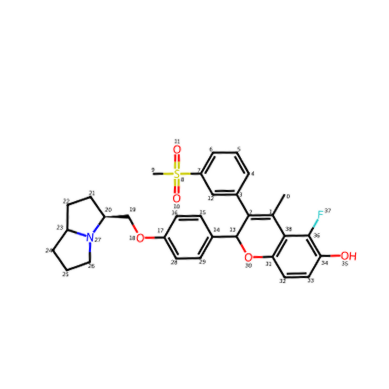 CC1=C(c2cccc(S(C)(=O)=O)c2)C(c2ccc(OC[C@@H]3CCC4CCCN43)cc2)Oc2ccc(O)c(F)c21